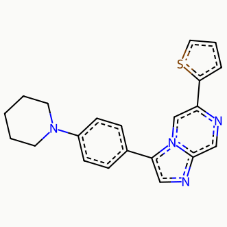 c1csc(-c2cn3c(-c4ccc(N5CCCCC5)cc4)cnc3cn2)c1